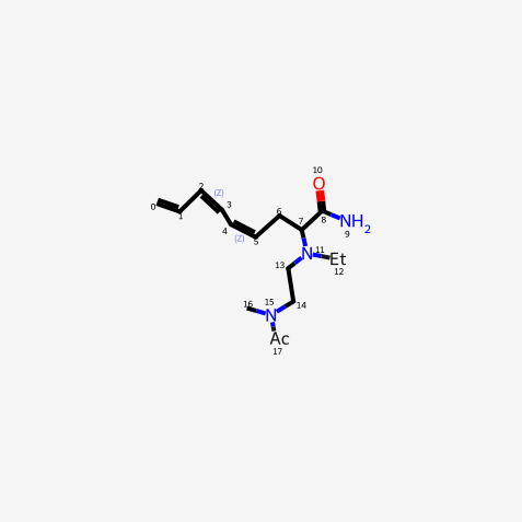 C=C/C=C\C=C/CC(C(N)=O)N(CC)CCN(C)C(C)=O